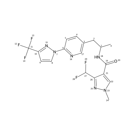 CC(Cc1ccc(-n2ccc(C(F)(F)F)n2)nc1)NC(=O)c1cn(C)nc1C(F)F